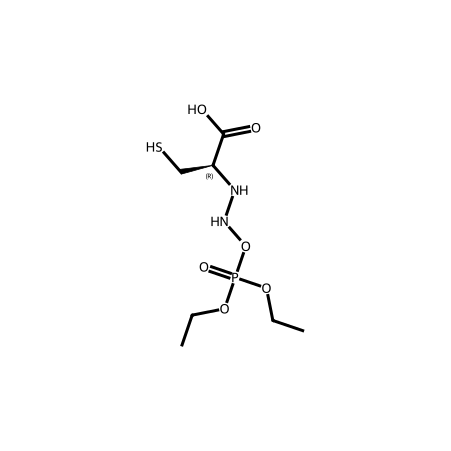 CCOP(=O)(OCC)ONN[C@@H](CS)C(=O)O